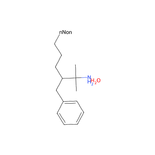 CCCCCCCCCCCCC(Cc1ccccc1)C(C)(C)N.O